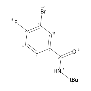 CC(C)(C)NC(=O)c1ccc(F)c(Br)c1